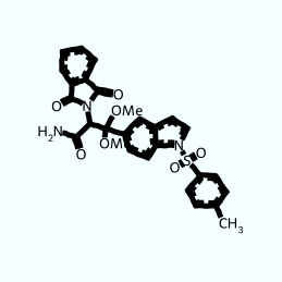 COC(OC)(c1ccc2c(ccn2S(=O)(=O)c2ccc(C)cc2)c1)C(C(N)=O)N1C(=O)c2ccccc2C1=O